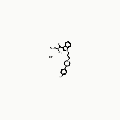 CON(C)C(=O)c1cn(CCCN2CCN(c3ccc(C#N)cc3)CC2)c2ccccc12.Cl